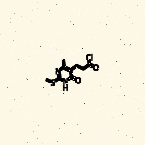 CSc1nc(C)c(CCC(=O)Cl)c(=O)[nH]1